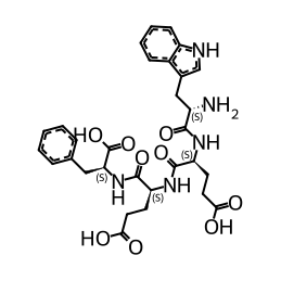 N[C@@H](Cc1c[nH]c2ccccc12)C(=O)N[C@@H](CCC(=O)O)C(=O)N[C@@H](CCC(=O)O)C(=O)N[C@@H](Cc1ccccc1)C(=O)O